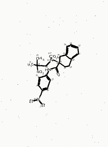 CCN(CC)c1ccc(NC(=O)[C@@]2(N(CC(C)(C)[N+](=O)[O-])C(=O)O)CCc3ccccc3C2)cc1